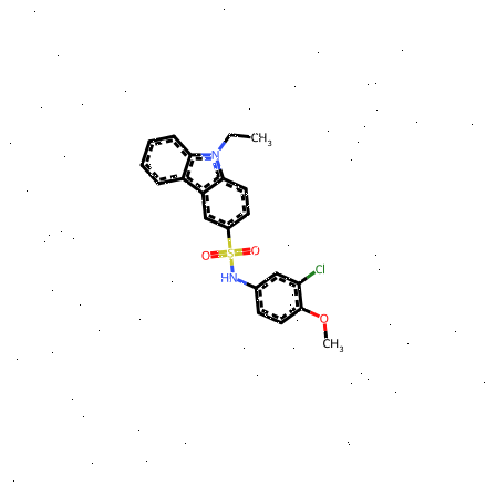 CCn1c2ccccc2c2cc(S(=O)(=O)Nc3ccc(OC)c(Cl)c3)ccc21